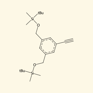 C#Cc1cc(CO[Si](C)(C)C(C)(C)C)cc(CO[Si](C)(C)C(C)(C)C)c1